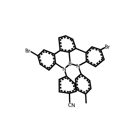 Cc1ccc(N2B3c4c(cccc4-c4cc(Br)ccc4N3c3ccc(C#N)cc3)-c3cc(Br)ccc32)cc1